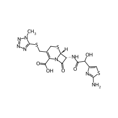 Cn1nnnc1SCC1=C(C(=O)O)N2C(=O)[C@@H](NC(=O)C(O)c3csc(N)n3)[C@H]2SC1